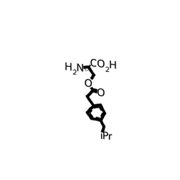 CC(C)Cc1ccc(CC(=O)OC[C@H](N)C(=O)O)cc1